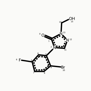 O=c1n(-c2cc(F)ccc2Br)cnn1CO